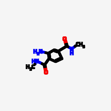 CNC(=O)c1ccc(C(=O)NC)c(N)c1